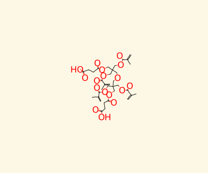 C=C(C)C(=O)OCC(COCC(COC(=O)CCC(=O)O)(COC(=O)C(=C)C)COC(=O)C(=C)C)(COC(=O)CCC(=O)O)COC(=O)C(=C)C